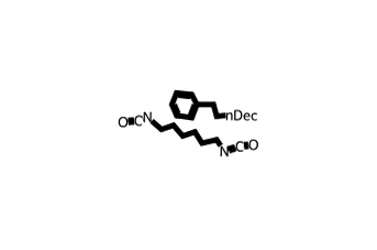 CCCCCCCCCCCCc1ccccc1.O=C=NCCCCCCN=C=O